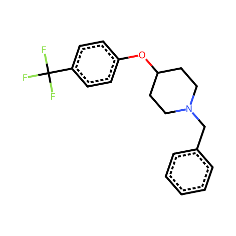 FC(F)(F)c1ccc(OC2CCN(Cc3ccccc3)CC2)cc1